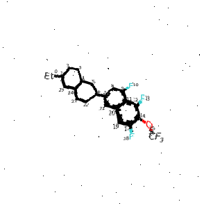 CCC1CCC2CC(c3cc(F)c4c(F)c(OC(F)(F)F)c(F)cc4c3)CCC2C1